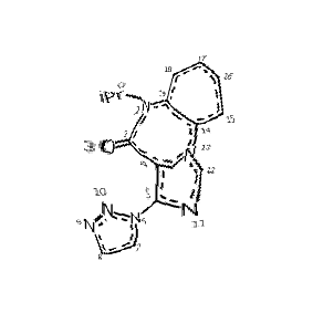 CC(C)n1c(=O)c2c(-n3ccnn3)ncn2c2ccccc21